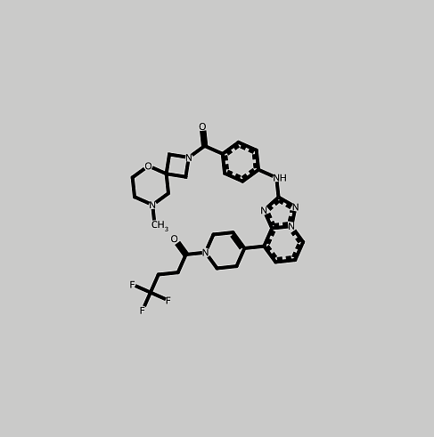 CN1CCOC2(C1)CN(C(=O)c1ccc(Nc3nc4c(C5=CCN(C(=O)CCC(F)(F)F)CC5)cccn4n3)cc1)C2